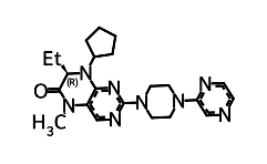 CC[C@@H]1C(=O)N(C)c2cnc(N3CCN(c4cnccn4)CC3)nc2N1C1CCCC1